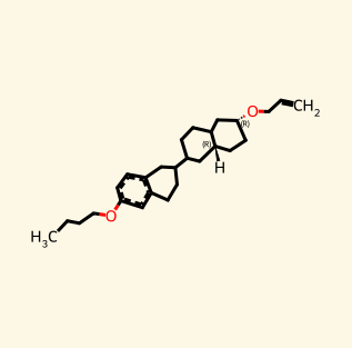 C=CCO[C@@H]1CC[C@@H]2CC(C3CCc4cc(OCCCC)ccc4C3)CCC2C1